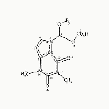 CCOC(OC(=O)O)n1cnc2c1c(=O)n(C)c(=O)n2C